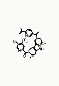 C=C(C)c1ccc(C(C)N2C=C3C4=C(C[C@@H](C)N(C(=O)c5cc(C(F)(F)F)c(Cl)cn5)C4)NN3[C@H](C)C2)cn1